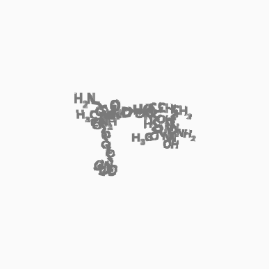 CCCCOc1nc(N)c2nc(O)n(Cc3ccc(CC(O)[C@@H](NC(=O)OCc4ccc(NC(=O)[C@H](CCCCN)NC(=O)[C@@H](NC(=O)CCOCCOCCOCCN5C(=O)C=CC5=O)C(C)C)cc4)[C@@H](C)CC)cc3OC)c2n1